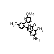 COc1cncc(-c2cc(C)ccc2C2Cc3nc(N)nc(C)c3C(=O)N2)n1